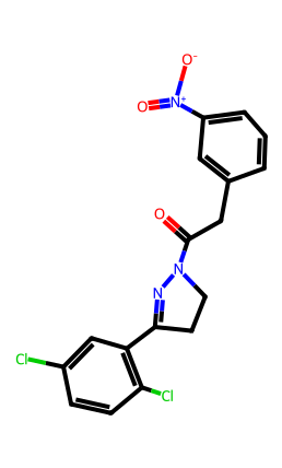 O=C(Cc1cccc([N+](=O)[O-])c1)N1CCC(c2cc(Cl)ccc2Cl)=N1